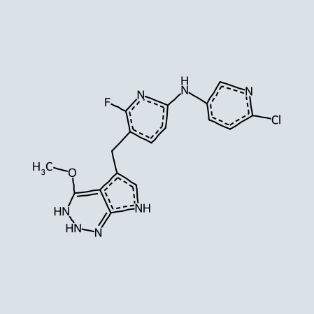 COC1=c2c(Cc3ccc(Nc4ccc(Cl)nc4)nc3F)c[nH]c2=NNN1